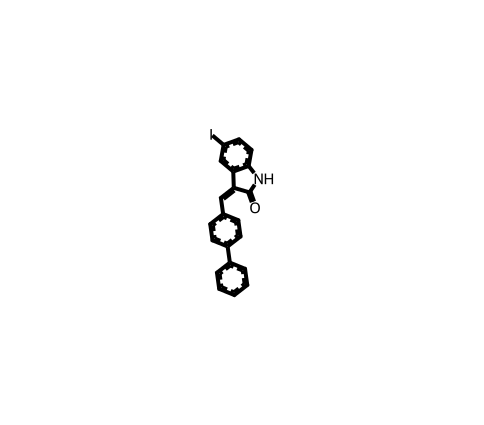 O=C1Nc2ccc(I)cc2C1=Cc1ccc(-c2ccccc2)cc1